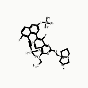 CC(C)[Si](C#Cc1c(F)ccc2cc(O[Si](C(C)C)(C(C)C)C(C)C)cc(-c3ncc4c(OCC(F)(F)F)nc(OC[C@@]56CCCN5C[C@H](F)C6)nc4c3F)c12)(C(C)C)C(C)C